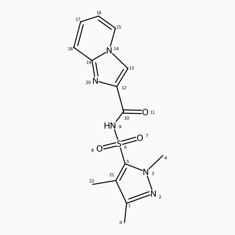 Cc1nn(C)c(S(=O)(=O)NC(=O)c2cn3ccccc3n2)c1C